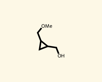 COCC1CC1CO